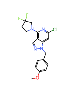 COc1ccc(Cn2ncc3c(N4CCC(F)(F)C4)nc(Cl)cc32)cc1